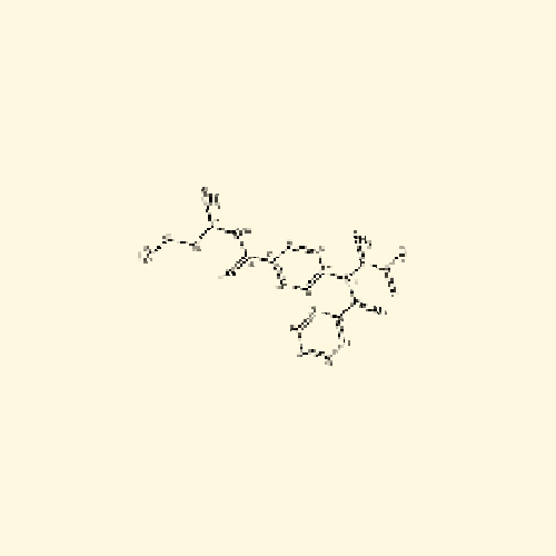 C=C(C(=O)O)N(C(=O)c1ccccc1)c1ccc(C(=O)OC(C)CCC)cc1